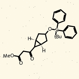 COC(=O)CC(=O)C1[C@H]2CC(O[Si](c3ccccc3)(c3ccccc3)C(C)(C)C)C[C@@H]12